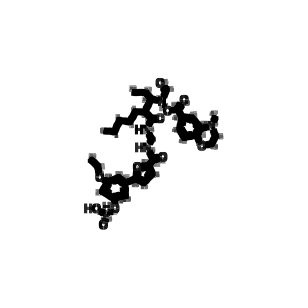 CCCCCC(C(=O)NCNC(=O)c1ccc(-c2cc(OCC)cc(O[PH](=O)O)c2)o1)C(CC)N(C=O)OC(=O)c1ccc2c(c1)N(C)CCO2